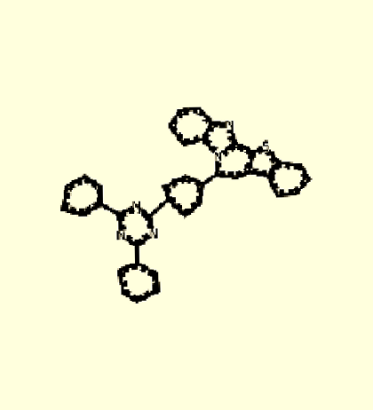 c1ccc(-c2nc(-c3ccccc3)nc(-c3ccc(-c4cc5c6ccccc6sc5c5nc6ccccc6n45)cc3)n2)cc1